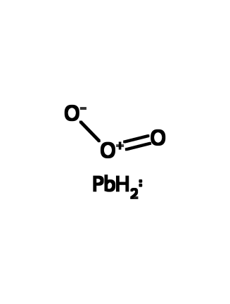 O=[O+][O-].[PbH2]